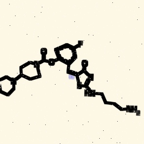 NCCCCNC1=NC(=O)/C(=C\c2cc(F)ccc2OC(=O)N2CCC(N3CCCCC3)CC2)S1